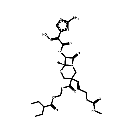 CCC(CC)C(=O)OCOC(=O)C1(C=CCOC(=O)NC)CS[C@@H]2C(NC(=O)C(=NO)c3csc(N)n3)C(=O)N2C1